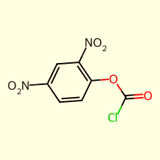 O=C(Cl)Oc1ccc([N+](=O)[O-])cc1[N+](=O)[O-]